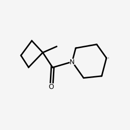 CC1(C(=O)N2CC[CH]CC2)CCC1